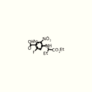 CCOC(=O)C(CC)Nc1cc(F)c(C(=O)OC)cc1[N+](=O)[O-]